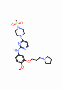 COc1ccc(Nc2nccc(N3CCN(S(C)(=O)=O)CC3)n2)cc1OCCCN1CCCC1